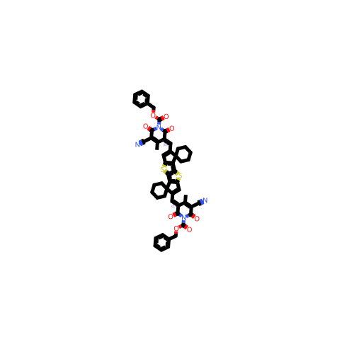 CC1=C(C#N)C(=O)N(C(=O)OCc2ccccc2)C(=O)/C1=C/C1=Cc2sc3c4c(sc3c2C12CCCCC2)C=C(/C=C1/C(=O)N(C(=O)OCc2ccccc2)C(=O)C(C#N)=C1C)C41CCCCC1